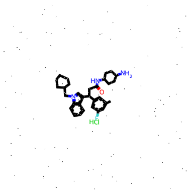 Cc1cc(F)cc(C(CC(=O)NC2CCC(N)CC2)c2cn(CC3CCCCC3)c3ccccc23)c1.Cl